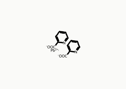 O=C([O-])c1ccccn1.O=C([O-])c1ccccn1.[Pb+2]